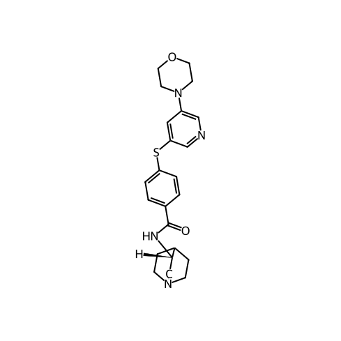 O=C(N[C@H]1CN2CCC1CC2)c1ccc(Sc2cncc(N3CCOCC3)c2)cc1